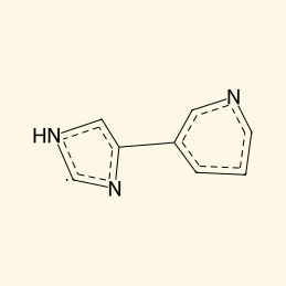 [c]1nc(-c2cccnc2)c[nH]1